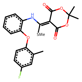 CSC(Nc1ccccc1Oc1ccc(F)cc1C)=C1C(=O)OC(C)(C)OC1=O